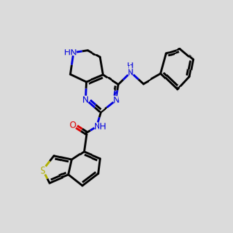 O=C(Nc1nc2c(c(NCc3ccccc3)n1)CCNC2)c1cccc2cscc12